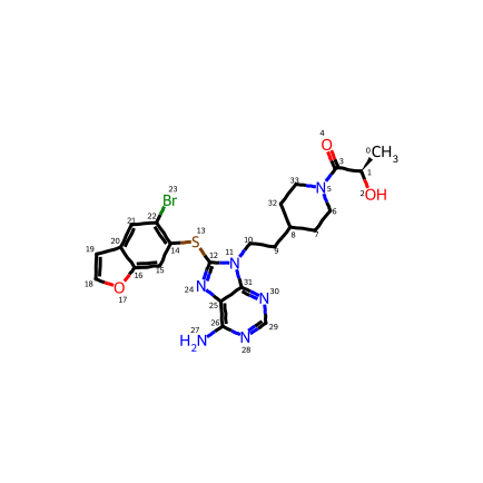 C[C@@H](O)C(=O)N1CCC(CCn2c(Sc3cc4occc4cc3Br)nc3c(N)ncnc32)CC1